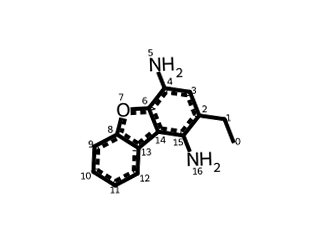 CCc1cc(N)c2oc3ccccc3c2c1N